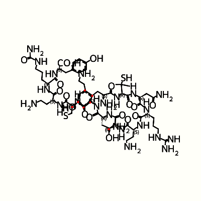 C[C@@H](O)[C@H](NC(=O)[C@H](CCN)NC(=O)[C@H](CCCNC(=N)N)NC(=O)[C@H](CC(N)=O)NC(=O)[C@@H](NC(=O)[C@@H](N)Cc1ccc(O)cc1)C(C)(C)S)C(=O)N[C@H](CCN)C(=O)N[C@@H](CCCCN)C(=O)N[C@@H](CS)C(=O)N[C@@H](CCN)C(=O)N[C@@H](CCCNC(N)=O)C(=O)N[C@@H](Cc1ccc(O)cc1)C(=O)O